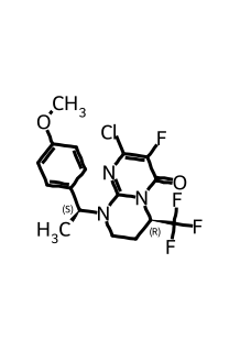 COc1ccc([C@H](C)N2CC[C@H](C(F)(F)F)n3c2nc(Cl)c(F)c3=O)cc1